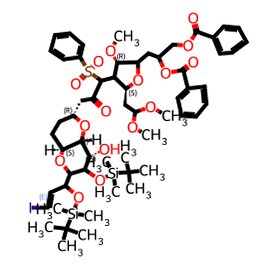 COC(C[C@@H]1OC(CC(COC(=O)c2ccccc2)OC(=O)c2ccccc2)[C@H](OC)C1C(C(=O)C[C@H]1CC[C@@H]2OC(C(/C=C/I)O[Si](C)(C)C(C)(C)C)C(O[Si](C)(C)C(C)(C)C)[C@@H](O)[C@H]2O1)S(=O)(=O)c1ccccc1)OC